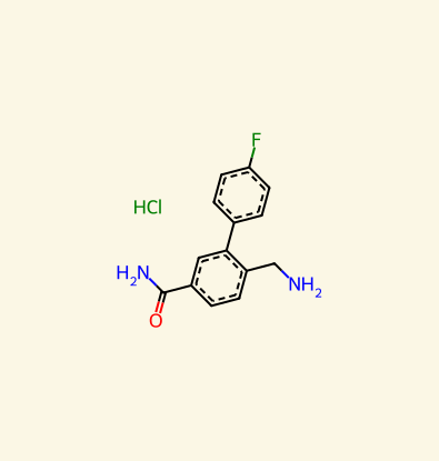 Cl.NCc1ccc(C(N)=O)cc1-c1ccc(F)cc1